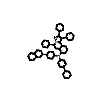 c1ccc(-c2ccc(N(c3ccc(-c4ccc5ccccc5c4)cc3)c3cccc4c3cc(-c3ccccc3)n3nc(-c5ccccc5)c(-c5ccccc5)c43)cc2)cc1